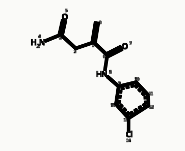 C=C(CC(N)=O)C(=O)Nc1cccc(Cl)c1